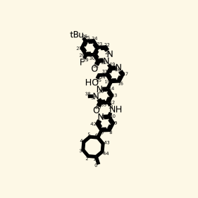 CC1CCCCC(c2ccc(Nc3cc(-c4ccnc(-n5ncc6cc(C(C)(C)C)cc(F)c6c5=O)c4CO)nn(C)c3=O)nc2)CC1